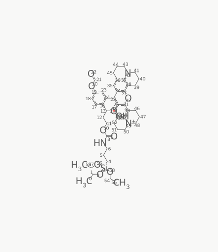 CCO[Si](CCCNC(=O)OCCC(OO)c1ccc(OC=O)cc1C1=c2cc3c4c(c2Oc2c1cc1c5c2CCCN5CCC1)CCC[N+]=4CCC3)(OCC)OCC